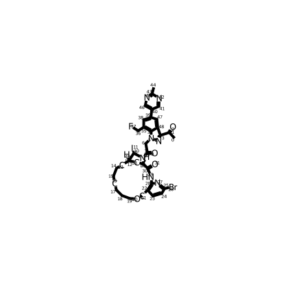 CC(=O)c1nn(CC(=O)N2[C@H](I)[C@H]3CCCCCCCOCc4ccc(Br)nc4NC(=O)[C@@H]2C3)c2c(CF)cc(-c3cnc(C)nc3)cc12